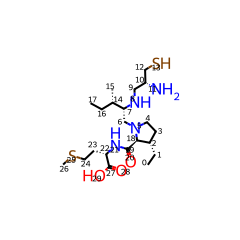 CC[C@H]1CCN(C[C@@H](NC[C@@H](N)CS)[C@@H](C)CC)[C@@H]1C(=O)N[C@@H](CCSC)C(=O)O